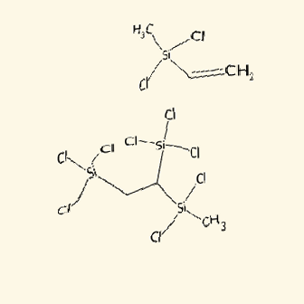 C=C[Si](C)(Cl)Cl.C[Si](Cl)(Cl)C(C[Si](Cl)(Cl)Cl)[Si](Cl)(Cl)Cl